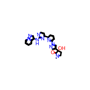 CN1CCC(O)(c2cnn(-c3cccc(-c4ccnc(Nc5cnn6ccccc56)n4)n3)c2)C1=O